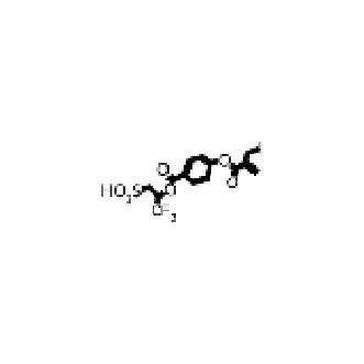 C=C(CI)C(=O)Oc1ccc(C(=O)OC(CS(=O)(=O)O)C(F)(F)F)cc1